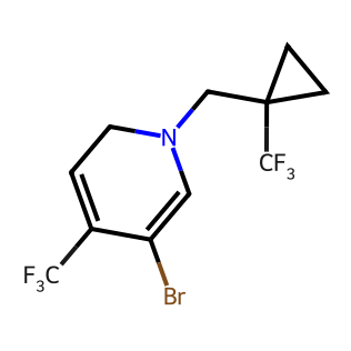 FC(F)(F)C1=CCN(CC2(C(F)(F)F)CC2)C=C1Br